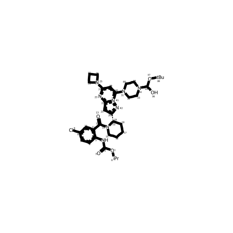 CC(C)OC(=O)Nc1ccc(Cl)cc1C(=O)N1CCCC[C@H]1c1cc2nc(N3CCC3)cc(N3CCN(C(O)OC(C)(C)C)CC3)n2n1